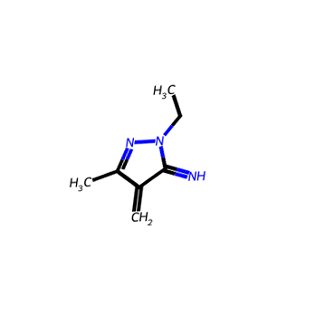 C=C1C(=N)N(CC)N=C1C